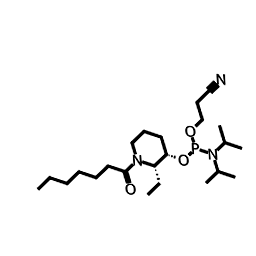 CCCCCCC(=O)N1CCC[C@H](OP(OCCC#N)N(C(C)C)C(C)C)[C@@H]1CC